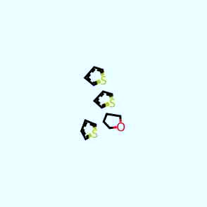 C1CCOC1.c1ccsc1.c1ccsc1.c1ccsc1